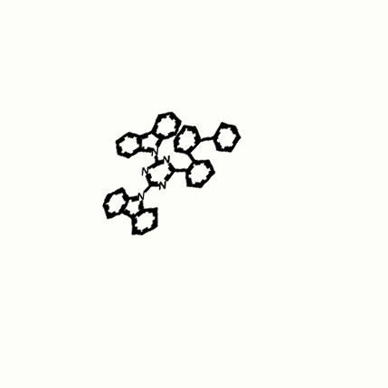 c1ccc(-c2ccccc2-c2ccccc2-c2nc(-n3c4ccccc4c4ccccc43)nc(-n3c4ccccc4c4ccccc43)n2)cc1